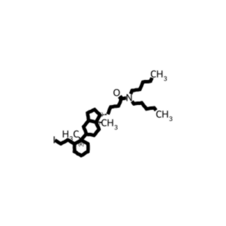 CCCCCN(CCCCC)C(=O)CCC[C@H]1CCC2CC([C@@]3(C)CCCCC3CCI)CC[C@@]21C